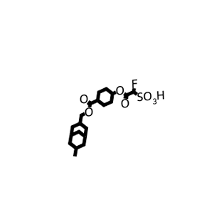 CC1CC2CC(COC(=O)C3CCC(OC(=O)C(F)S(=O)(=O)O)CC3)CC(C1)C2